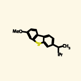 COc1ccc2c(c1)sc1cc(C(C)C(C)C)ccc12